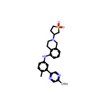 COc1cnc(-c2cc(Nc3cccc4c3CCN(C3CCS(=O)(=O)C3)C4)ccc2C)cn1